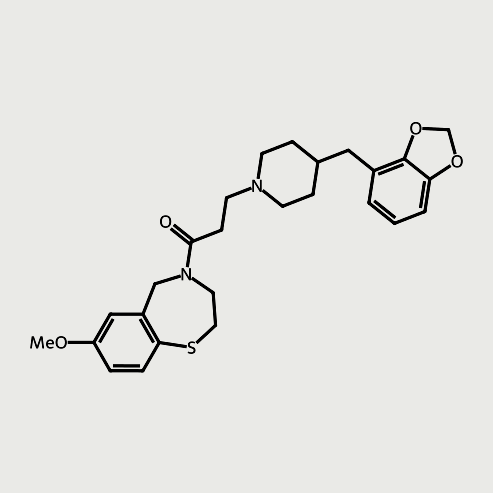 COc1ccc2c(c1)CN(C(=O)CCN1CCC(Cc3cccc4c3OCO4)CC1)CCS2